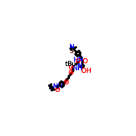 Cc1ncsc1-c1ccc(CNC(=O)C2CP(O)CN2C(=O)C(NC(=O)COCCCCOc2ccc(C(=O)NC3C(C)(C)CC3(C)C)cc2)C(C)(C)C)cc1